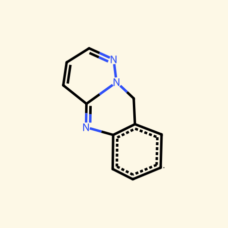 [c]1ccc2c(c1)CN1N=CC=CC1=N2